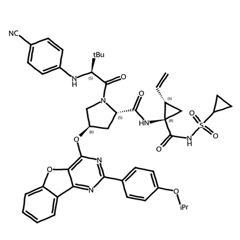 C=C[C@@H]1C[C@]1(NC(=O)[C@@H]1C[C@@H](Oc2nc(-c3ccc(OC(C)C)cc3)nc3c2oc2ccccc23)CN1C(=O)[C@@H](Nc1ccc(C#N)cc1)C(C)(C)C)C(=O)NS(=O)(=O)C1CC1